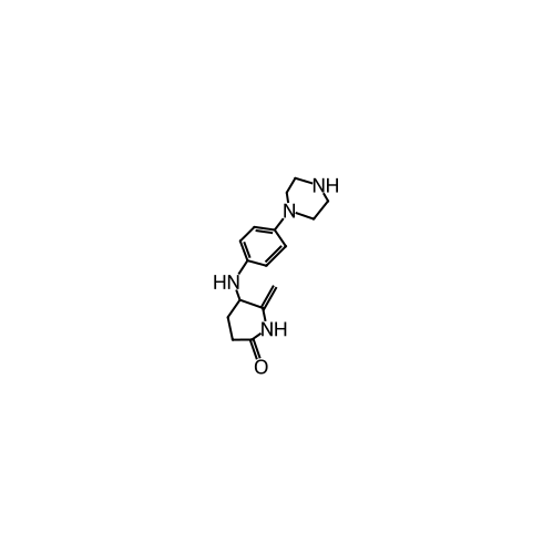 C=C1NC(=O)CCC1Nc1ccc(N2CCNCC2)cc1